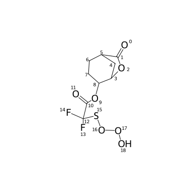 O=C1OC2CC1CCC2OC(=O)C(F)(F)SOOO